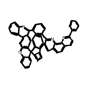 c1ccc(-c2ccc3ccc4ccc(-c5cccc(-c6nc7ccccc7c7cc8c(cc67)C6(c7ccccc7O8)c7ccccc7-c7ccccc76)c5)nc4c3n2)cc1